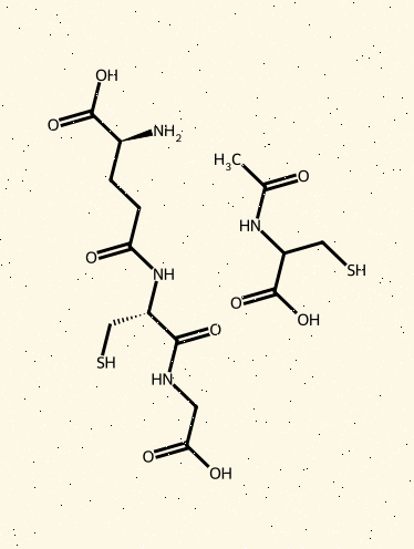 CC(=O)NC(CS)C(=O)O.N[C@@H](CCC(=O)N[C@@H](CS)C(=O)NCC(=O)O)C(=O)O